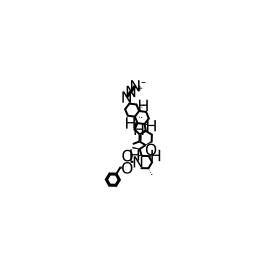 CC1=C2C[C@H]3[C@@H](CC[C@@H]4C[C@H](N=[N+]=[N-])CC[C@@]43C)[C@@H]2CC[C@]12O[C@@H]1C[C@H](C)CN(C(=O)OCc3ccccc3)[C@H]1[C@H]2C